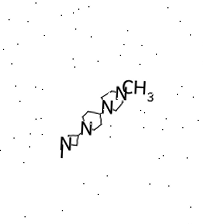 CN1CCN(C2CCN(C3CN(I)C3)CC2)CC1